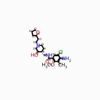 COc1c(C(=O)NC[C@H]2CCN(CCC3CCCO3)C[C@@H]2O)cc(Cl)c(N)c1C